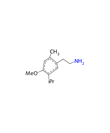 COc1cc(C)c(CCN)cc1C(C)C